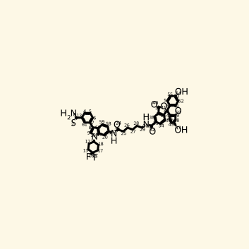 NC(=S)c1cccc(-c2cn(C3CCC(F)(F)CC3)c3cc(NC(=O)CCCCCNC(=O)c4ccc5c(c4)C(=O)OC54c5ccc(O)cc5Oc5cc(O)ccc54)ccc23)c1